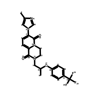 Cc1cn(-c2ccc3n(c2=O)CCN(CC(C)Oc2ccc(C(F)(F)F)cc2)C3=O)cn1